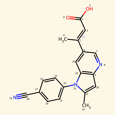 C/C(=C\C(=O)O)c1cnc2cc(C)n(-c3ccc(C#N)cc3)c2c1